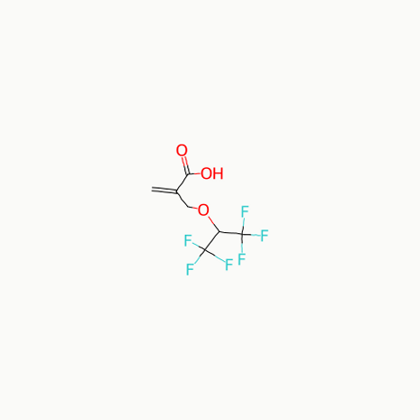 C=C(COC(C(F)(F)F)C(F)(F)F)C(=O)O